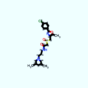 Cc1oc(-c2ccc(Cl)cc2)nc1C[S+]([O-])CC(=O)NCCCN1CC(C)CC(C)C1